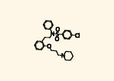 O=S(=O)(c1ccc(Cl)cc1)N(CCc1ccccc1OCCCN1CCCCC1)c1ccccc1